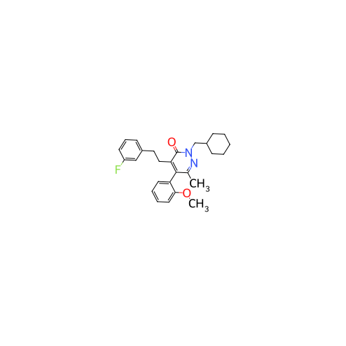 COc1ccccc1-c1c(C)nn(CC2CCCCC2)c(=O)c1CCc1cccc(F)c1